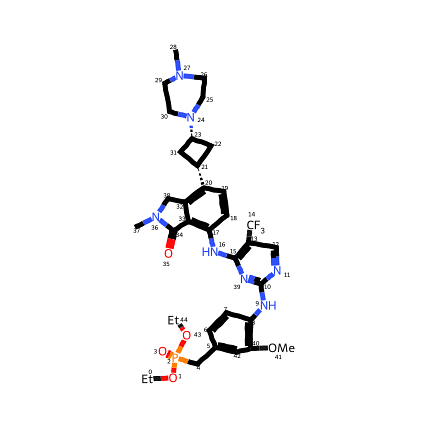 CCOP(=O)(Cc1ccc(Nc2ncc(C(F)(F)F)c(Nc3ccc([C@H]4C[C@@H](N5CCN(C)CC5)C4)c4c3C(=O)N(C)C4)n2)c(OC)c1)OCC